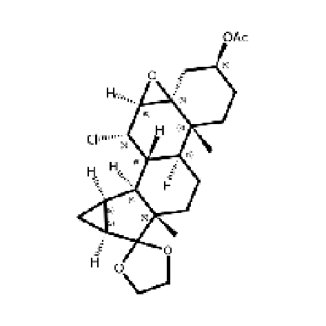 CC(=O)O[C@H]1CC[C@]2(C)[C@H]3CC[C@@]4(C)[C@@H]([C@@H]5C[C@@H]5C45OCCO5)[C@@H]3[C@H](Cl)[C@H]3O[C@]32C1